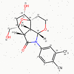 N#Cc1ccc(N2C(=O)[C@H]3[C@H]4[C@@H]2OCC[C@@]42O[C@]3(CO)C[C@@H]2O)cc1C(F)(F)F